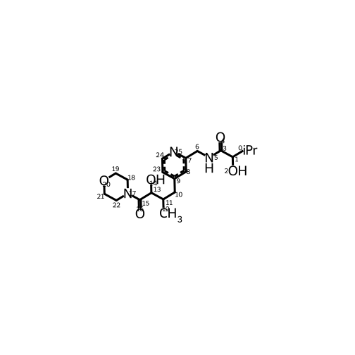 CC(C)C(O)C(=O)NCc1cc(CC(C)C(O)C(=O)N2CCOCC2)ccn1